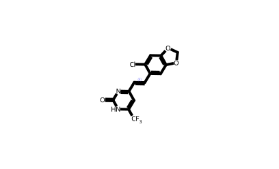 O=c1nc(/C=C/c2cc3c(cc2Cl)OCO3)cc(C(F)(F)F)[nH]1